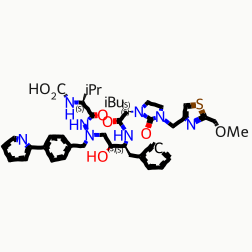 CC[C@H](C)[C@@H](C(=O)N[C@@H](Cc1ccccc1)[C@@H](O)CN(Cc1ccc(-c2ccccn2)cc1)NC(=O)[C@@H](NC(=O)O)C(C)C)N1CCN(Cc2csc(COC)n2)C1=O